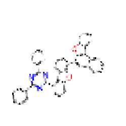 c1ccc(-c2nc(-c3ccccc3)nc(-c3cccc4oc5c(-c6cc7ccccc7c7c6oc6ccccc67)cccc5c34)n2)cc1